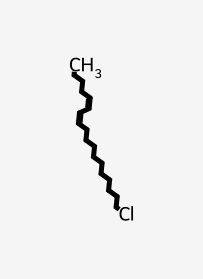 CCCC/C=C\C=C/CCCCCCCCCCCl